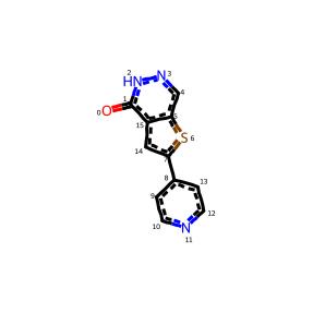 O=c1[nH]ncc2sc(-c3ccncc3)cc12